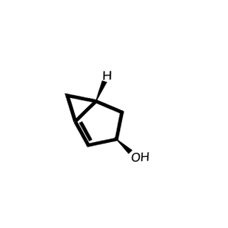 O[C@H]1C=C2C[C@@H]2C1